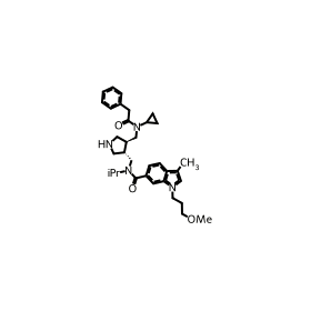 COCCCn1cc(C)c2ccc(C(=O)N(C[C@@H]3CNC[C@H]3CN(C(=O)Cc3ccccc3)C3CC3)C(C)C)cc21